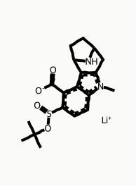 Cn1c2c(c3c(C(=O)[O-])c(S(=O)OC(C)(C)C)ccc31)C1CCC(C2)N1.[Li+]